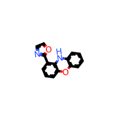 c1ccc2c(c1)Nc1c(cccc1-c1ncco1)O2